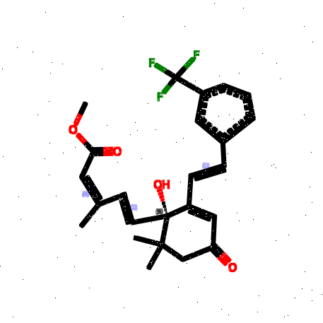 COC(=O)/C=C(C)\C=C\[C@@]1(O)C(/C=C/c2cccc(C(F)(F)F)c2)=CC(=O)CC1(C)C